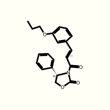 CCCOc1cccc(/C=C/C(=O)N2C(=O)OC[C@@H]2c2ccccc2)c1